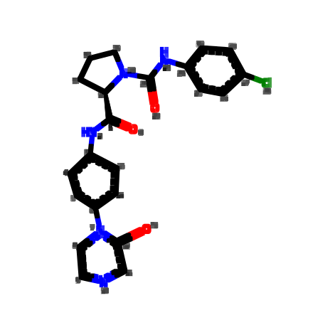 O=C(Nc1ccc(-n2ccncc2=O)cc1)[C@H]1CCCN1C(=O)Nc1ccc(Cl)cc1